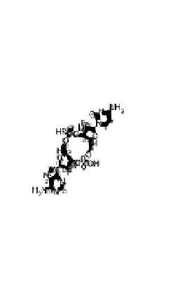 Nc1ccn([C@@H]2O[C@@H]3COP(=O)(O)O[C@H]4[C@@H](F)[C@H](n5cnc6c(N)ncnc65)O[C@@H]4COP(=O)(S)O[C@H]3[C@H]2F)c(=O)n1